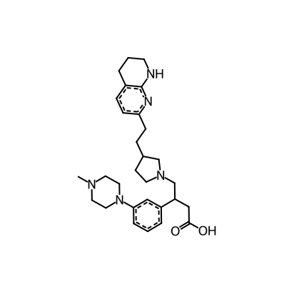 CN1CCN(c2cccc(C(CC(=O)O)CN3CCC(CCc4ccc5c(n4)NCCC5)C3)c2)CC1